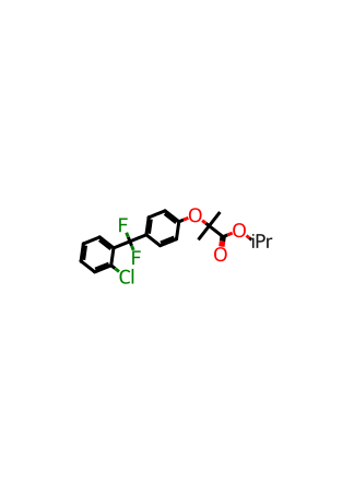 CC(C)OC(=O)C(C)(C)Oc1ccc(C(F)(F)c2ccccc2Cl)cc1